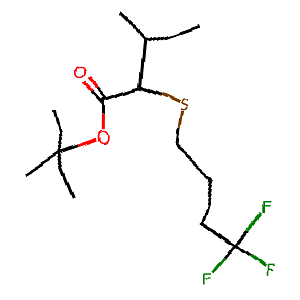 CC(C)C(SCCCC(F)(F)F)C(=O)OC(C)(C)C